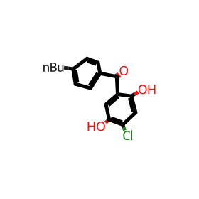 CCCCc1ccc(C(=O)c2cc(O)c(Cl)cc2O)cc1